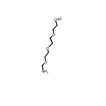 NCOCCOCCOCCC=O